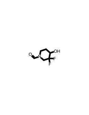 O=CN1CCC(O)C(F)(F)C1